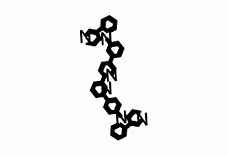 c1cc(-c2ccc(-c3cccc(-c4ccc(-n5c6ccccc6c6cnccc65)cc4)n3)nc2)cc(-n2c3ccccc3c3cnccc32)c1